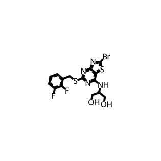 OCC(CO)Nc1nc(SCc2cccc(F)c2F)nc2nc(Br)sc12